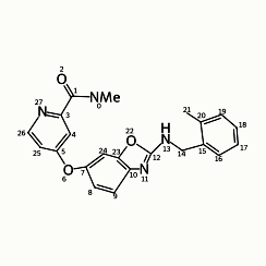 CNC(=O)c1cc(Oc2ccc3nc(NCc4ccccc4C)oc3c2)ccn1